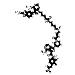 Cc1c(CC(=O)N(C)C)ccc(NC(=O)c2nn([C@@H]3CCCN(C(=O)/C=C/CN(C)CCCCNC(=O)CCCCn4nc(-c5ccc6oc(N)nc6c5)c5c(N)ncnc54)C3)c3ncnc(N)c23)c1C